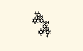 Ic1ccc2nc3cc(Nc4ccc5c(c4)nc4ccc(I)cc4[n+]5-c4ccccc4)ccc3[n+](-c3ccccc3)c2c1